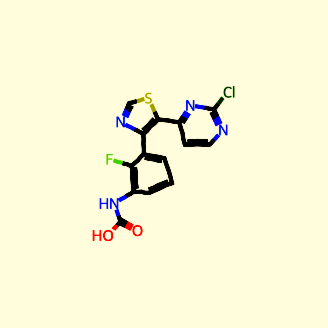 O=C(O)Nc1cccc(-c2ncsc2-c2ccnc(Cl)n2)c1F